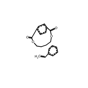 C=Cc1ccccc1.O=C1OCCCCOC(=O)c2ccc1cc2